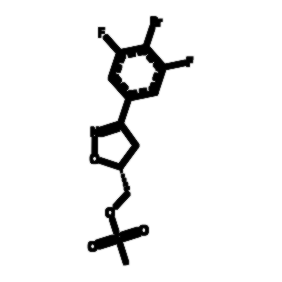 CS(=O)(=O)OC[C@H]1CC(c2cc(F)c(Br)c(F)c2)=NO1